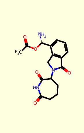 N[C@@H](OC(=O)C(F)(F)F)c1cccc2c1CN(C1CCCC(=O)NC1=O)C2=O